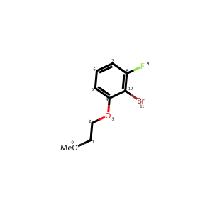 COCCOc1cccc(F)c1Br